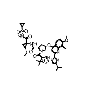 BNC(C(=O)N1C[C@H](Oc2cc(-c3nc(C(C)C)cs3)nc3c(C)c(OC)ccc23)C[C@H]1C(=O)N[C@]1(C(=O)NS(=O)(=O)C2CC2)C[C@H]1CC)C(C)(C)C